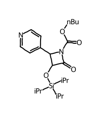 CCCCOC(=O)N1C(=O)C(O[Si](C(C)C)(C(C)C)C(C)C)C1c1ccncc1